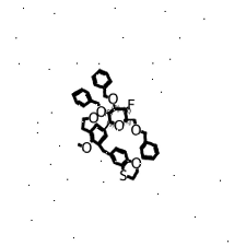 COc1c(Cc2ccc3c(c2)SCCO3)cc([C@@H]2O[C@H](COCc3ccccc3)[C@@H](F)[C@H](OCc3ccccc3)[C@H]2OCc2ccccc2)c2c1CCO2